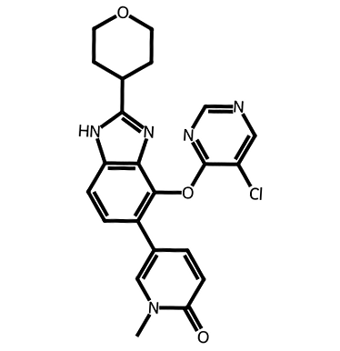 Cn1cc(-c2ccc3[nH]c(C4CCOCC4)nc3c2Oc2ncncc2Cl)ccc1=O